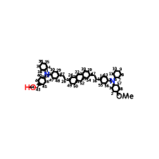 COc1ccc(N(c2ccccc2)c2ccc(C=Cc3ccc4cc5cc(C=Cc6ccc(N(c7ccccc7)c7ccc(CO)cc7)cc6)ccc5cc4c3)cc2)cc1